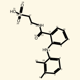 Cc1cccc(Nc2ccccc2C(=O)NCCS(=O)(=O)O)c1C